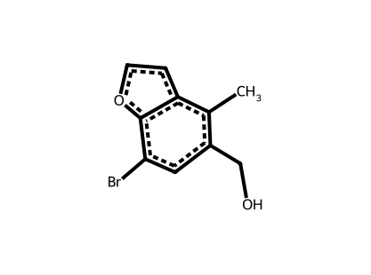 Cc1c(CO)cc(Br)c2occc12